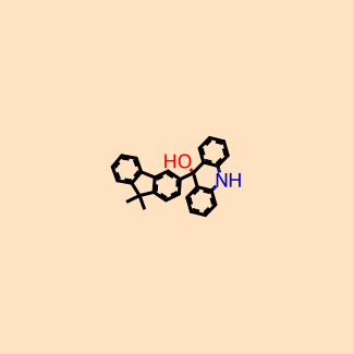 CC1(C)c2ccccc2-c2cc(C3(O)c4ccccc4Nc4ccccc43)ccc21